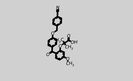 COc1ccc(C(=O)c2ccc(OCc3ccc(C#N)cc3)cc2)c(OC(C)(C)C(=O)O)c1